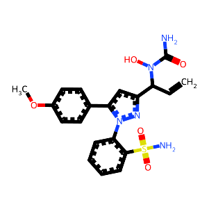 C=CC(c1cc(-c2ccc(OC)cc2)n(-c2ccccc2S(N)(=O)=O)n1)N(O)C(N)=O